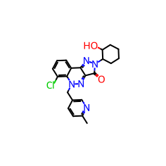 Cc1ccc(Cn2nc3c(=O)n(C4CCCCC4O)nc-3c3cccc(Cl)c32)cn1